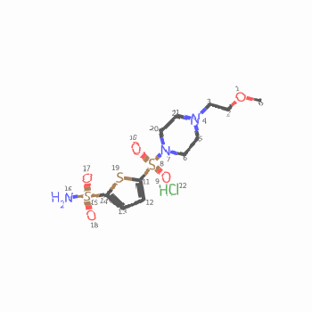 COCCN1CCN(S(=O)(=O)c2ccc(S(N)(=O)=O)s2)CC1.Cl